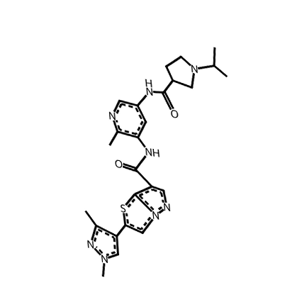 Cc1ncc(NC(=O)C2CCN(C(C)C)C2)cc1NC(=O)c1cnn2cc(-c3cn(C)nc3C)sc12